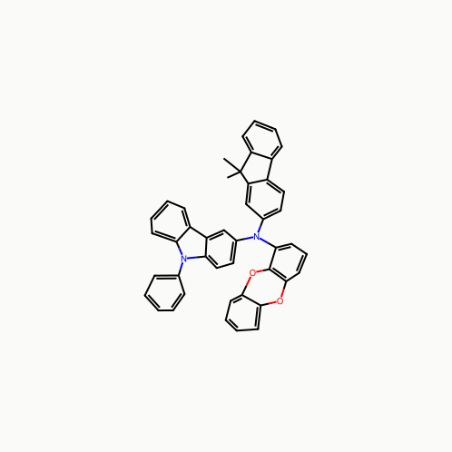 CC1(C)c2ccccc2-c2ccc(N(c3ccc4c(c3)c3ccccc3n4-c3ccccc3)c3cccc4c3Oc3ccccc3O4)cc21